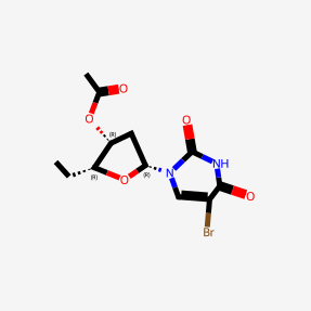 CC[C@H]1O[C@@H](n2cc(Br)c(=O)[nH]c2=O)C[C@H]1OC(C)=O